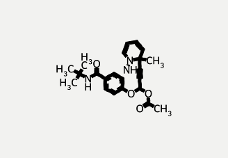 CC(=O)OC(C#CC1(C)C=CC=CN1N)Oc1ccc(C(=O)NC(C)(C)C)cc1